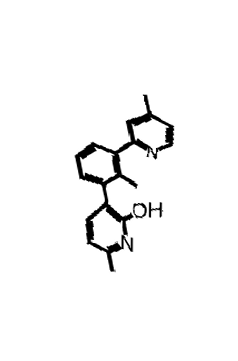 Cc1ccnc(-c2cccc(-c3ccc(C)nc3O)c2C)c1